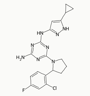 Nc1nc(Nc2cc(C3CC3)[nH]n2)nc(N2CCCC2c2ccc(F)cc2Cl)n1